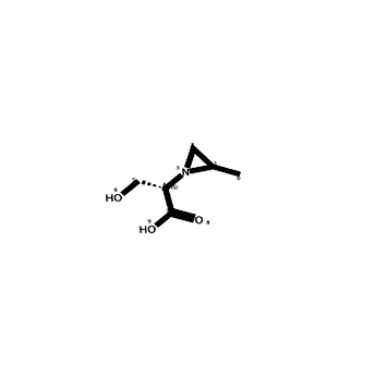 CC1CN1[C@@H](CO)C(=O)O